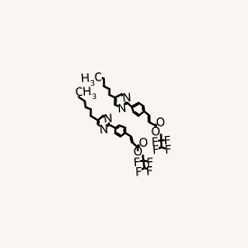 CCCCCCc1cnc(-c2ccc(C=CC(=O)OCC(F)(F)C(F)F)cc2)nc1.CCCCCc1cnc(-c2ccc(C=CC(=O)OCC(F)(F)C(F)F)cc2)nc1